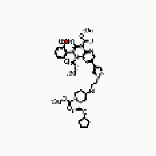 CC(C)(C)OC(=O)N(Cc1c(Cl)cccc1Cl)c1nc(-c2cnn(CCNC3CCN(C(=O)OC(C)(C)C)[C@@H](C(=O)OC4CCCC4)C3)c2)cnc1N(C(=O)OC(C)(C)C)C(=O)OC(C)(C)C